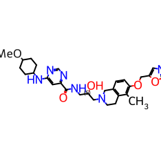 COC1CCC(Nc2cc(C(=O)NC[C@H](O)CN3CCc4c(ccc(OCc5cnco5)c4C)C3)ncn2)CC1